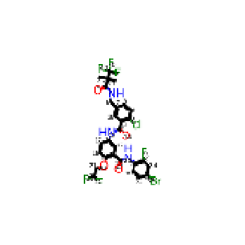 CC(C)(C(=O)NCc1ccc(Cl)c(C(=O)Nc2ccc(OCC(F)F)c(C(=O)Nc3ccc(Br)cc3F)c2)c1)C(F)(F)F